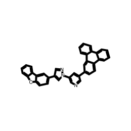 c1ccc2c(c1)oc1ccc(-c3cnn(-c4cncc(-c5ccc6c7ccccc7c7ccccc7c6c5)c4)c3)cc12